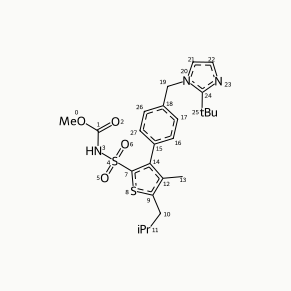 COC(=O)NS(=O)(=O)c1sc(CC(C)C)c(C)c1-c1ccc(Cn2ccnc2C(C)(C)C)cc1